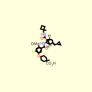 COc1cc(F)c(OC2CCC(C)(C(=O)O)CC2)cc1C(=O)N[C@H]1[C@@H](C(=O)NCC2(C)CCC2)[C@@H]2CC(=CC3CC3)[C@H]1C2